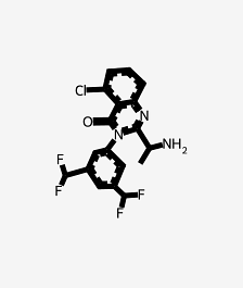 CC(N)c1nc2cccc(Cl)c2c(=O)n1-c1cc(C(F)F)cc(C(F)F)c1